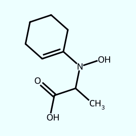 CC(C(=O)O)N(O)C1=CCCCC1